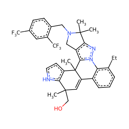 CCc1cccc2c1-n1nc3c(c1C1(C)C2=CC(C)(CO)c2[nH]ccc21)CN(Cc1ccc(C(F)(F)F)cc1C(F)(F)F)C3(C)C